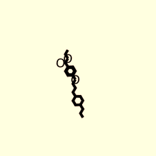 CCCC1CCC(CCCOc2ccc(C(=O)OCC)cc2)CC1